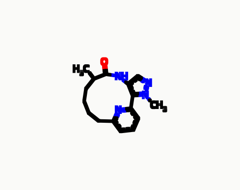 CC1CCCCc2cccc(n2)-c2c(cnn2C)NC1=O